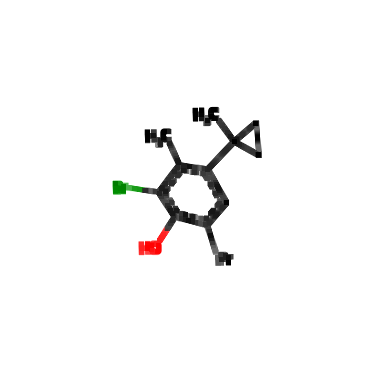 Cc1c(C2(C)CC2)cc(C(C)C)c(O)c1Br